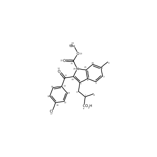 Cc1ccc2c(CC(C)C(=O)O)c(C(=O)c3ccc(Cl)cc3)n(C(=O)OC(C)(C)C)c2c1